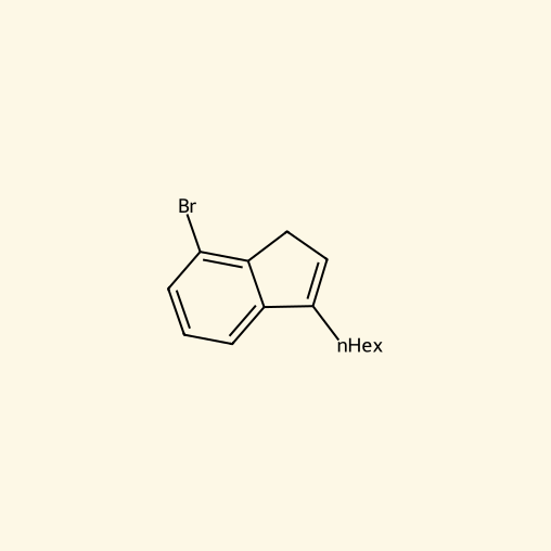 CCCCCCC1=CCc2c(Br)cccc21